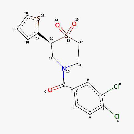 O=C(c1ccc(Cl)c(Cl)c1)N1CCS(=O)(=O)[C@H](c2cccs2)C1